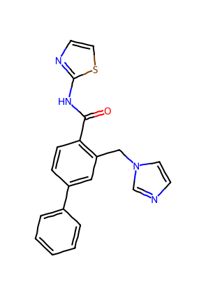 O=C(Nc1nccs1)c1ccc(-c2ccccc2)cc1Cn1ccnc1